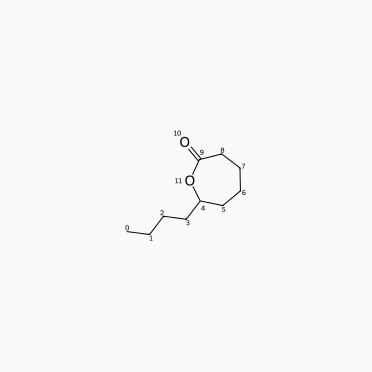 CCCCC1CCCCC(=O)O1